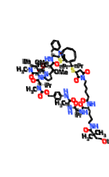 CCCC(CCC)(SC1CC(=O)N(CCCCCC(=O)NC(CCCCNC(=O)C(C)(C)CCOC(C)(C)C)C(=O)N[C@H](C(=O)N[C@@H](C)C(=O)Nc2ccc(COC(=O)N(C)[C@H](C(=O)N[C@H](C(=O)N(C)[C@@H]([C@@H](C)CC)[C@@H](CC(=O)N3CCCC3[C@H](OC)[C@@H](C)C(=O)N[C@H](Cc3ccccc3)c3nccs3)OC)C(C)C)C(C)C)cc2)C(C)C)C1=O)c1ccccccccc1